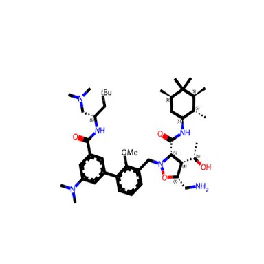 COc1c(CN2O[C@@H](CN)[C@@H]([C@H](C)O)[C@H]2C(=O)N[C@H]2C[C@@H](C)C(C)(C)[C@@H](C)[C@@H]2C)cccc1-c1cc(C(=O)N[C@H](CN(C)C)CC(C)(C)C)cc(N(C)C)c1